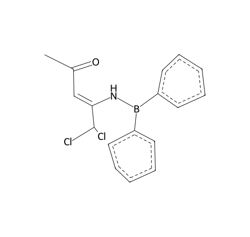 CC(=O)/C=C(\NB(c1ccccc1)c1ccccc1)C(Cl)Cl